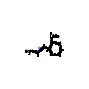 COc1ccccc1/C=N/N